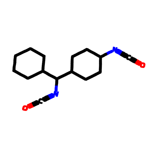 O=C=NC1CCC(C(N=C=O)C2CCCCC2)CC1